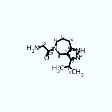 CC(C)c1n[nH]c2c1CN(C(=O)CN)CCC2